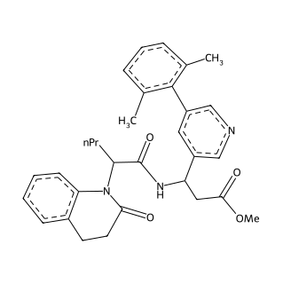 CCCC(C(=O)NC(CC(=O)OC)c1cncc(-c2c(C)cccc2C)c1)N1C(=O)CCc2ccccc21